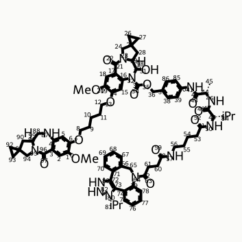 COc1cc2c(cc1OCCCCCOc1cc3c(cc1OC)C(=O)N1CC4(CC4)C[C@H]1C(O)N3C(=O)OCc1ccc(NC(=O)[C@H](C)NC(=O)[C@@H](NC(=O)CCCCNC(=O)CCC(=O)N3Cc4ccccc4C4=C(c5ccccc53)N(C(C)C)NN4)C(C)C)cc1)NC[C@@H]1CC3(CC3)CN1C2=O